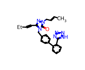 CC=CCn1nc(C#CCC)n(Cc2ccc(-c3ccccc3-c3nnn[nH]3)cc2)c1=O